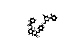 Cc1ccccc1N(CCCOc1ccc(CC(Nc2ccccc2OC(=O)c2ccccc2)C(=O)O)cc1)CC(C)C